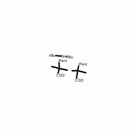 CCCC(C)C(C)(C)C(=O)[O-].CCCC(C)C(C)(C)C(=O)[O-].CCC[CH2][Sn+2][CH2]CCC